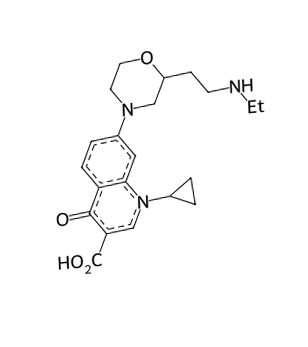 CCNCCC1CN(c2ccc3c(=O)c(C(=O)O)cn(C4CC4)c3c2)CCO1